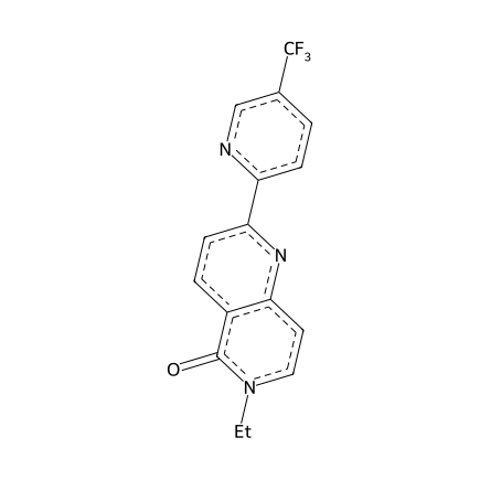 CCn1ccc2nc(-c3ccc(C(F)(F)F)cn3)ccc2c1=O